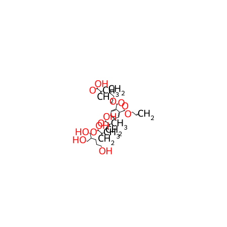 C=C(C)C(=O)O.C=C(C)C(=O)O.C=C(C)C(=O)O.C=CCOC(=O)c1ccccc1C(=O)OCC=C.OCCCC(CO)CO